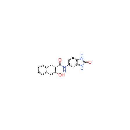 O=C(Nc1ccc2[nH]c(=O)[nH]c2c1)C1Cc2ccccc2C=C1O